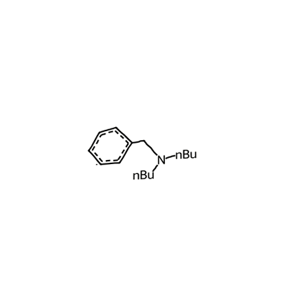 CCCCN(CCCC)Cc1c[c]ccc1